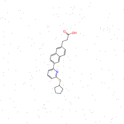 O=C(O)CCc1ccc2cc(-c3cccc(SC4CCCC4)n3)ccc2c1